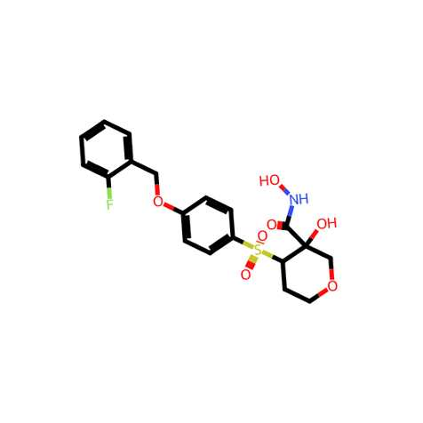 O=C(NO)C1(O)COCCC1S(=O)(=O)c1ccc(OCc2ccccc2F)cc1